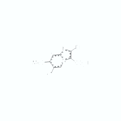 CCc1nc2cc(OC)c(Cl)cn2c1C(=O)O